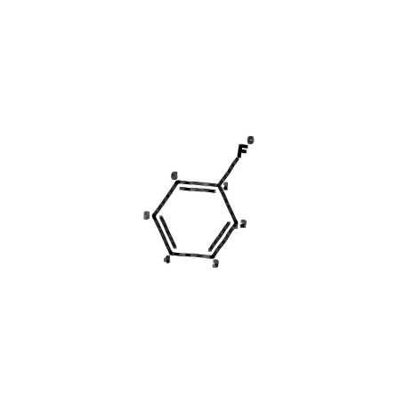 Fc1[c]cccc1